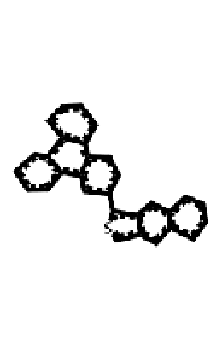 c1ccc2cc3c(-c4ccc5c6ccccc6c6ccccc6c5c4)scc3cc2c1